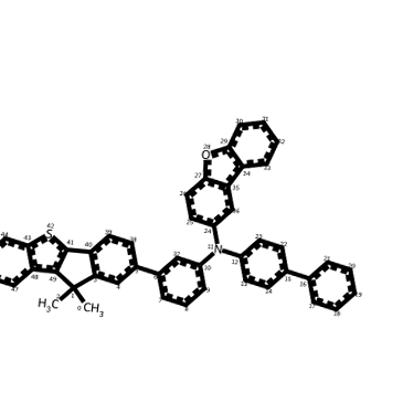 CC1(C)c2cc(-c3cccc(N(c4ccc(-c5ccccc5)cc4)c4ccc5oc6ccccc6c5c4)c3)ccc2-c2sc3ccccc3c21